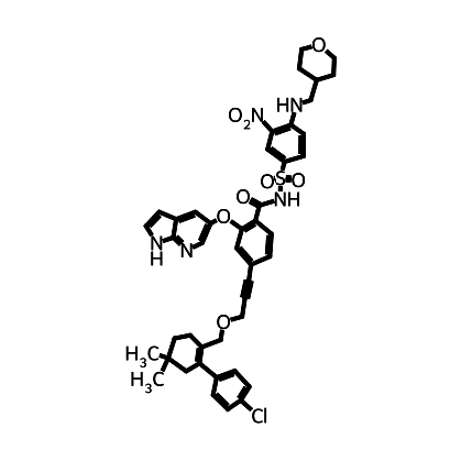 CC1(C)CCC(COCC#Cc2ccc(C(=O)NS(=O)(=O)c3ccc(NCC4CCOCC4)c([N+](=O)[O-])c3)c(Oc3cnc4[nH]ccc4c3)c2)=C(c2ccc(Cl)cc2)C1